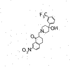 O=C1c2cc([N+](=O)[O-])ccc2CCC1CN1CCC(O)(c2cccc(C(F)(F)F)c2)CC1